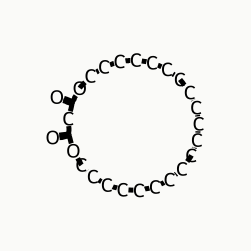 O=C1CC(=O)OCCCCCCCCCCCCCCCCCCCCO1